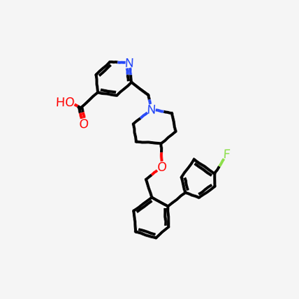 O=C(O)c1ccnc(CN2CCC(OCc3ccccc3-c3ccc(F)cc3)CC2)c1